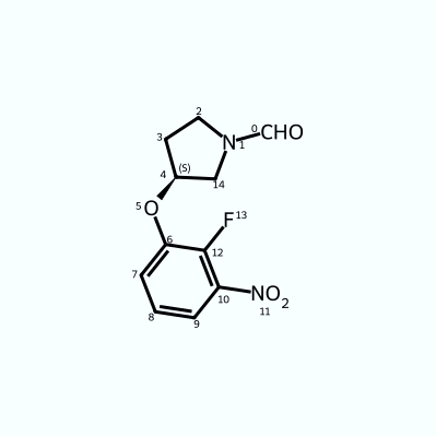 O=CN1CC[C@H](Oc2cccc([N+](=O)[O-])c2F)C1